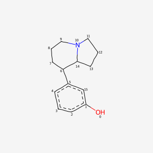 Oc1cccc(C2CCCN3CCCC23)c1